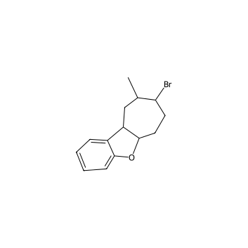 CC1CC2c3ccccc3OC2CCC1Br